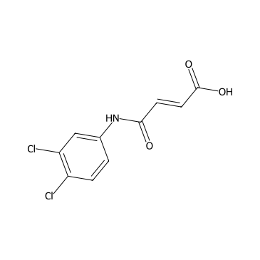 O=C(O)C=CC(=O)Nc1ccc(Cl)c(Cl)c1